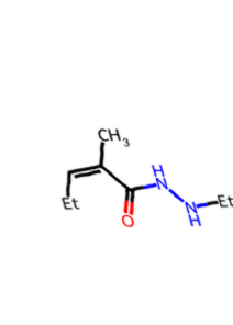 CCC=C(C)C(=O)NNCC